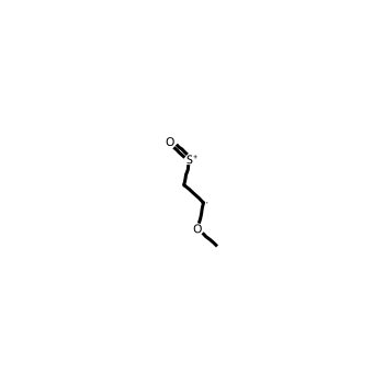 CO[CH]C[S+]=O